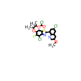 COc1cnc2c(-c3nc4c(Cl)c(F)c(O[C@@H](C)[C@@H](C)OC(=O)Cl)cc4s3)cc(Cl)cc2c1